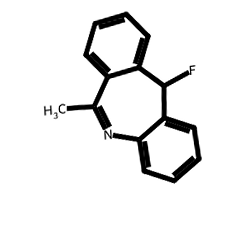 CC1=Nc2ccccc2C(F)c2ccccc21